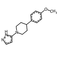 COc1ccc(C2CCN(c3ccn[nH]3)CC2)cc1